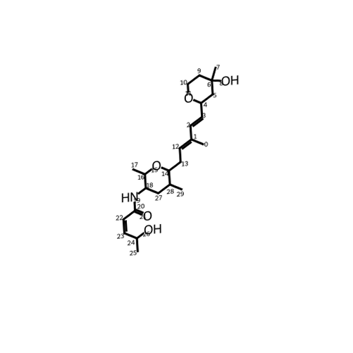 CC(/C=C/C1CC(C)(O)CCO1)=C\CC1OC(C)C(NC(=O)/C=C\C(C)O)CC1C